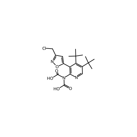 CC(C)(C)c1cnc(N(C(=O)O)C(=O)O)c(-c2cc(CCl)no2)c1C(C)(C)C